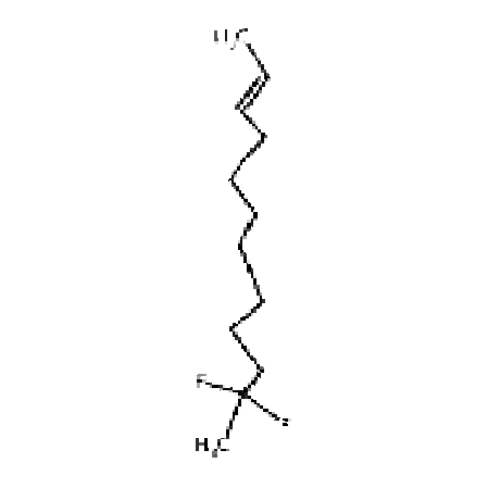 CC=CCCCCCCCC(C)(F)F